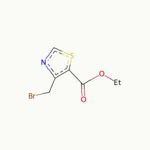 CCOC(=O)c1scnc1CBr